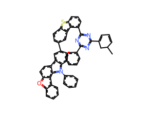 CC1C=CC=C(c2nc(-c3ccccc3)nc(-c3cccc4sc5ccc(-c6ccc7c(c6)c6ccc8oc9ccccc9c8c6n7-c6ccccc6)cc5c34)n2)C1